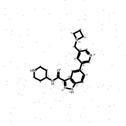 O=C(NC1CCNCC1)c1n[nH]c2ccc(-c3cncc(CN4CCC4)c3)cc12